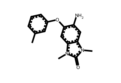 Cc1cccc(Oc2cc3c(cc2N)n(C)c(=O)n3C)c1